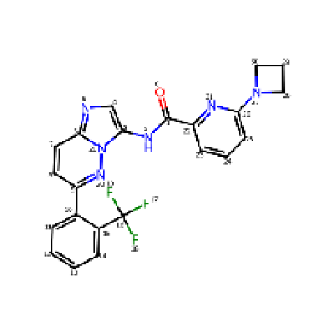 O=C(Nc1cnc2ccc(-c3ccccc3C(F)(F)F)nn12)c1cccc(N2CCC2)n1